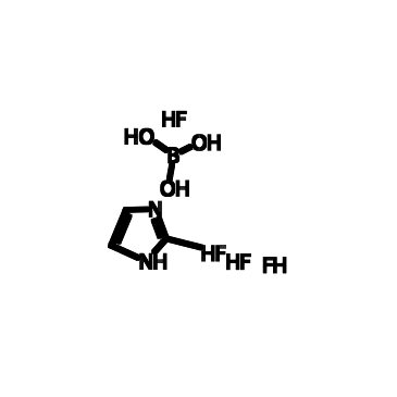 Cc1ncc[nH]1.F.F.F.F.OB(O)O